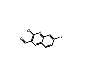 O=Cc1cc2ccc(Br)cc2nc1Cl